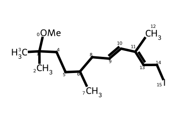 COC(C)(C)CCC(C)CC=CC(C)=CCI